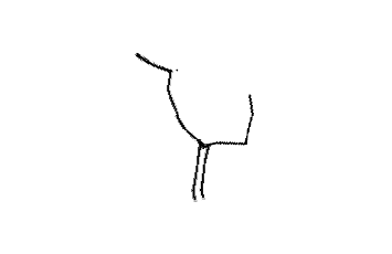 C=C(CC)C[CH]C